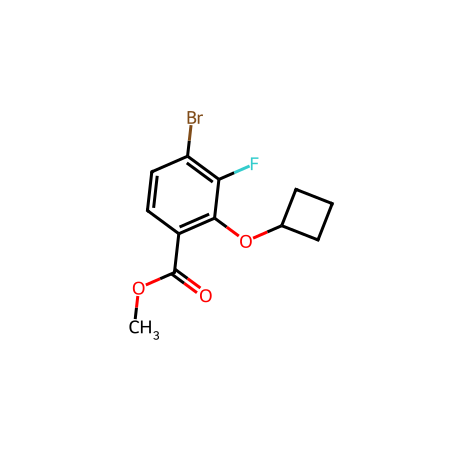 COC(=O)c1ccc(Br)c(F)c1OC1CCC1